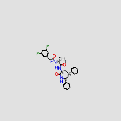 C[C@H](NC(=O)Cc1cc(F)cc(F)c1)C(=O)N[C@H]1C[C@H](c2ccccc2)C[C@@H](c2ccccc2)NC1=O